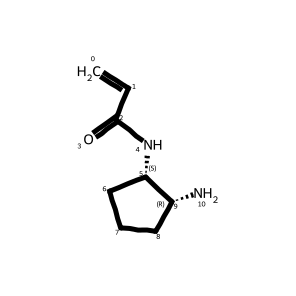 C=CC(=O)N[C@H]1CCC[C@H]1N